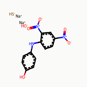 O=[N+]([O-])c1ccc(Nc2ccc(O)cc2)c([N+](=O)[O-])c1.[Na+].[Na+].[OH-].[SH-]